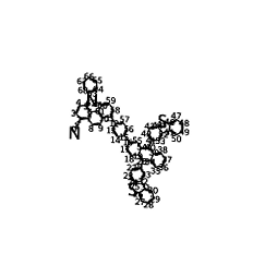 N#Cc1ccc2c3c1ccc1c(-c4ccc(-c5ccc6c(-c7ccc8sc9ccccc9c8c7)c7ccccc7c(-c7ccc8sc9ccccc9c8c7)c6c5)cc4)ccc(c13)n2-c1ccccc1